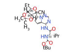 CC[C@H]1O[C@@](C#N)(c2ccc3c(NC(=O)[C@@H](NC(=O)OC(C)(C)C)C(C)C)ncnn23)[C@@H]2OC(C)(C)O[C@@H]21